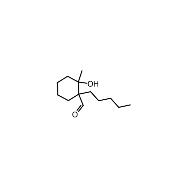 CCCCCC1(C=O)CCCCC1(C)O